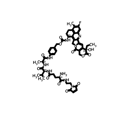 CC[C@@]1(O)C(=O)OCc2c1cc1n(c2=O)Cc2c-1nc1cc(F)c(C)c3c1c2[C@@H](NC(=O)OCc1ccc(NC(=O)[C@H](C)NC(=O)[C@@H](NC(=O)CC[C@H](N)C(=O)NCCN2C(=O)C=CC2=O)C(C)C)cc1)CC3